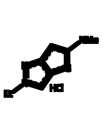 CCn1cc2sc(NC)cc2n1.Cl